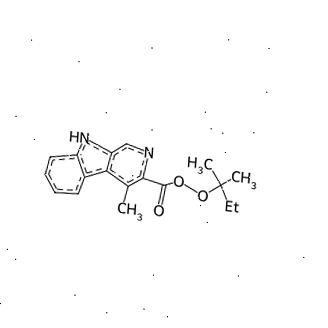 CCC(C)(C)OOC(=O)c1ncc2[nH]c3ccccc3c2c1C